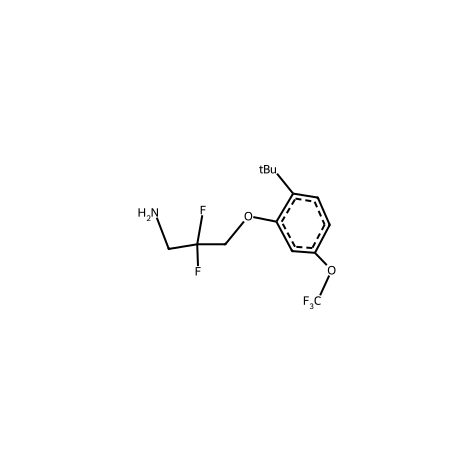 CC(C)(C)c1ccc(OC(F)(F)F)cc1OCC(F)(F)CN